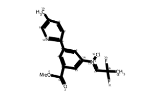 COC(=O)c1cc(-c2ccc(C)cn2)cc([N+](Cl)=CC(C)(F)F)c1